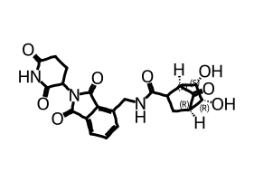 O=C1CCC(N2C(=O)c3cccc(CNC(=O)C4C[C@H]5C(=O)[C@@H]4[C@H](O)[C@@H]5O)c3C2=O)C(=O)N1